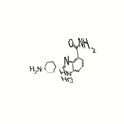 Cl.NC(=O)c1cccc2[nH]c([C@H]3CC[C@@H](N)CC3)nc12